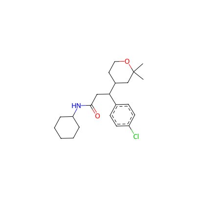 CC1(C)CC(C(CC(=O)NC2CCCCC2)c2ccc(Cl)cc2)CCO1